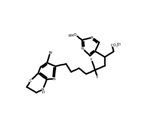 CCOC(=O)CC(CC(F)(F)CCCCc1nc2c(cc1Br)CCCN2)c1cnc(OC)nc1